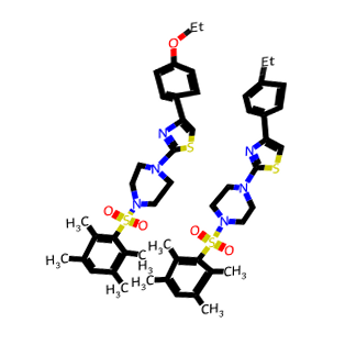 CCOc1ccc(-c2csc(N3CCN(S(=O)(=O)c4c(C)c(C)cc(C)c4C)CC3)n2)cc1.CCc1ccc(-c2csc(N3CCN(S(=O)(=O)c4c(C)c(C)cc(C)c4C)CC3)n2)cc1